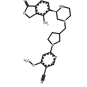 COc1cc(N2CCC(CN3CCN[C@H](c4ccc5c(c4C)COC5=O)C3)C2)ncc1C#N